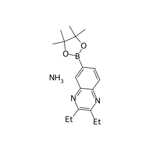 CCc1nc2ccc(B3OC(C)(C)C(C)(C)O3)cc2nc1CC.N